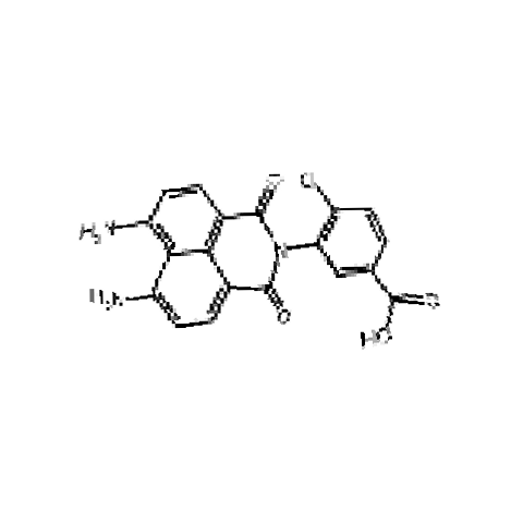 Nc1ccc2c3c(ccc(N)c13)C(=O)N(c1cc(C(=O)O)ccc1Cl)C2=O